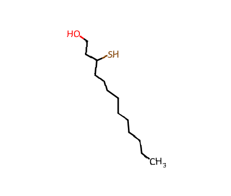 CCCCCCCCCCC(S)CCO